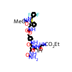 CCOC(=O)NCCC(=O)N[C@H](C(=O)N[C@@H](CCCNC(N)=O)C(=O)Nc1ccc(COC(=O)NCCC[C@@]2(c3ccccc3)SC(c3cc(F)ccc3F)=NN2C(=O)N(C)OC)cc1)C(C)C